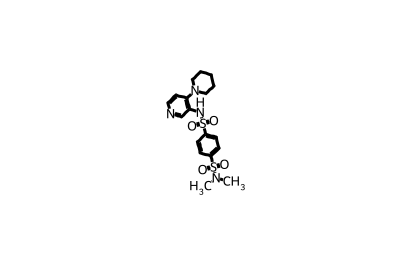 CN(C)S(=O)(=O)c1ccc(S(=O)(=O)Nc2cnccc2N2CCCCC2)cc1